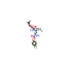 C=C(CCNC(=O)COc1ccc(Cl)cc1)NC(=O)COCC1CC1